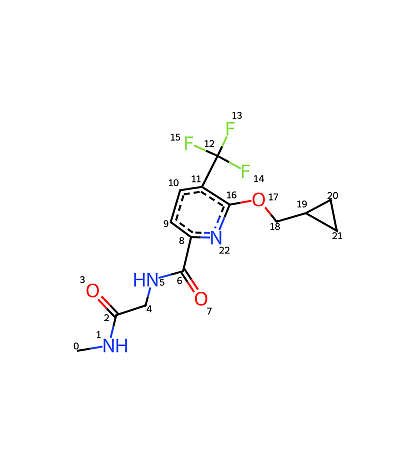 CNC(=O)CNC(=O)c1ccc(C(F)(F)F)c(OCC2CC2)n1